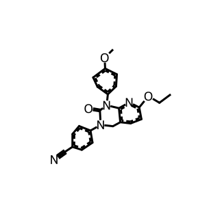 CCOc1ccc2c(n1)N(c1ccc(OC)cc1)C(=O)N(c1ccc(C#N)cc1)C2